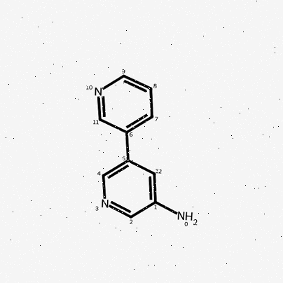 Nc1cncc(-c2cccnc2)c1